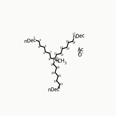 CC(=O)[O-].CCCCCCCCCCCCCCCC[N+](C)(CCCCCCCCCCCCCCCC)CCCCCCCCCCCCCCCC